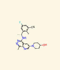 Cc1c(C#N)cc(F)cc1[C@@H](C)Nc1nnc(C)c2ncc(N3CCC(O)CC3)cc12